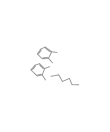 CCCCCC.Cc1ccccc1C.Cc1ccccc1C